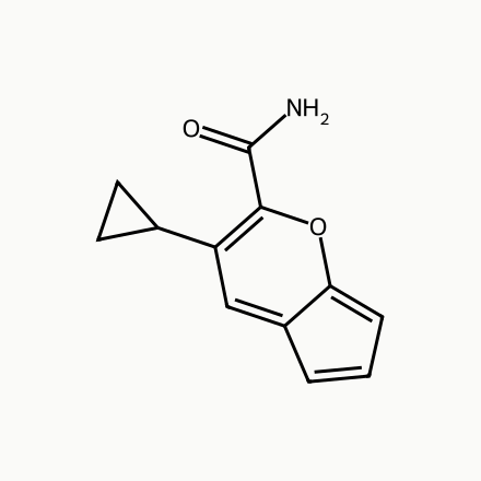 NC(=O)c1oc2cccc-2cc1C1CC1